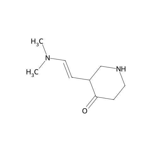 CN(C)C=CC1CNCCC1=O